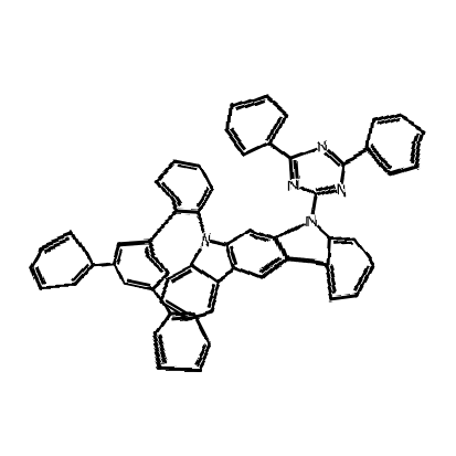 c1ccc(-c2cc(-c3ccccc3)cc(-c3ccccc3-n3c4ccccc4c4cc5c6ccccc6n(-c6nc(-c7ccccc7)nc(-c7ccccc7)n6)c5cc43)c2)cc1